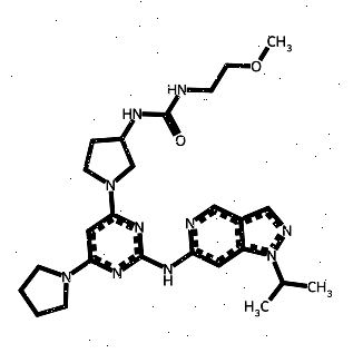 COCCNC(=O)NC1CCN(c2cc(N3CCCC3)nc(Nc3cc4c(cn3)cnn4C(C)C)n2)C1